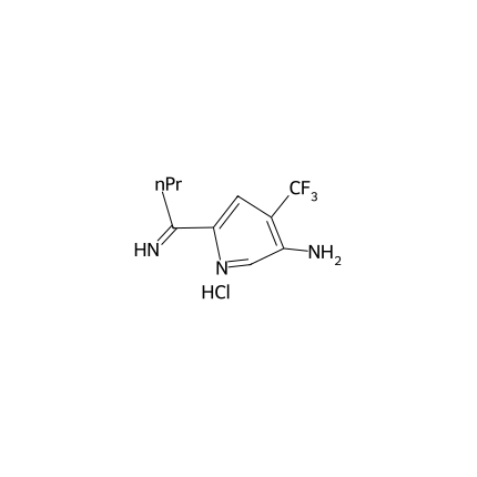 CCCC(=N)c1cc(C(F)(F)F)c(N)cn1.Cl